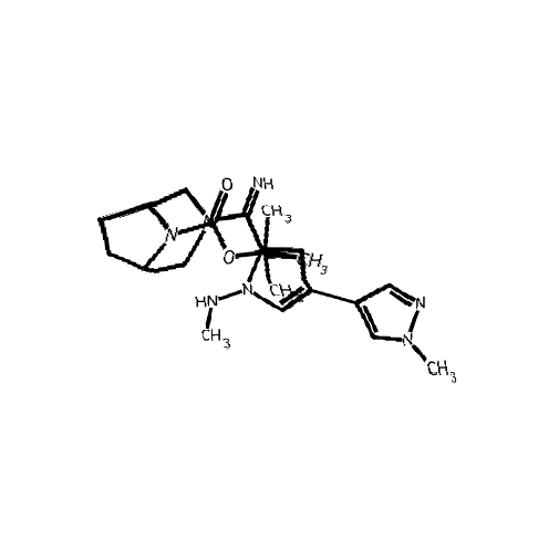 CNn1cc(-c2cnn(C)c2)cc1C(=N)N1CC2CCC(C1)N2C(=O)OC(C)(C)C